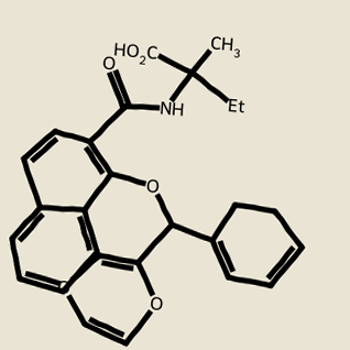 CCC(C)(NC(=O)c1ccc2ccccc2c1OC(C1=CC=CCC1)C1=COC=CO1)C(=O)O